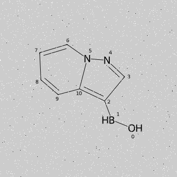 OBc1cnn2ccccc12